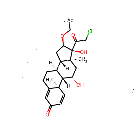 CC(=O)CO[C@@H]1C[C@H]2[C@@H]3CCC4=CC(=O)C=C[C@]4(C)[C@H]3[C@@H](O)C[C@]2(C)[C@@]1(O)C(=O)CCl